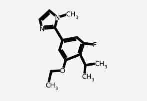 CCOc1cc(-c2nccn2C)cc(F)c1C(C)C